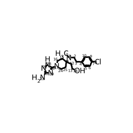 CN(CCc1ccc(Cl)cc1)C1(CCO)CCN(c2nc(N)n[nH]2)CC1